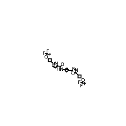 O=C(NC12CC(c3nnc(C4CC(OC(F)(F)F)C4)o3)(C1)C2)c1ccn(C2CC(OC(F)(F)F)C2)n1